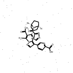 CC(=O)c1c([C@@H]2C[C@H]3CC[C@@H](C2)N3C(=O)c2nnc[nH]2)nc2c(-c3ccc(C(=O)O)nc3)cnn2c1N